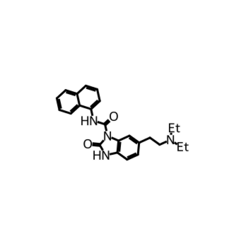 CCN(CC)CCc1ccc2[nH]c(=O)n(C(=O)Nc3cccc4ccccc34)c2c1